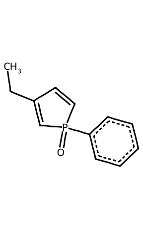 CCC1=CP(=O)(c2ccccc2)C=C1